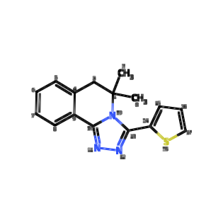 CC1(C)Cc2ccccc2-c2nnc(-c3cccs3)n21